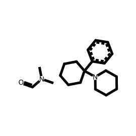 CN(C)C=O.c1ccc(C2(N3CCCCC3)CCCCC2)cc1